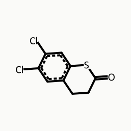 O=C1CCc2cc(Cl)c(Cl)cc2S1